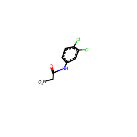 O=C(C[N+](=O)[O-])Nc1ccc(Cl)c(Cl)c1